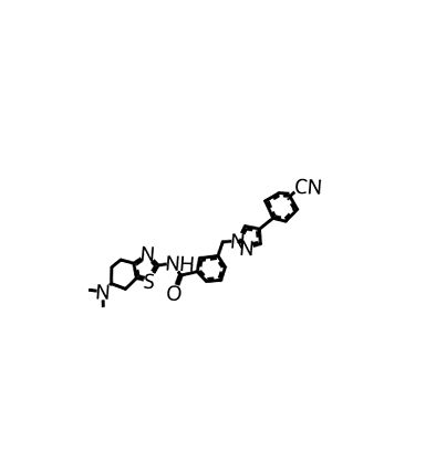 CN(C)[C@H]1CCc2nc(NC(=O)c3cccc(Cn4cc(-c5ccc(C#N)cc5)cn4)c3)sc2C1